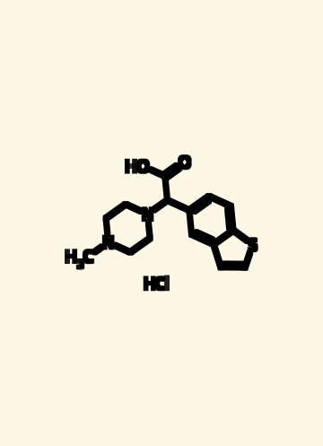 CN1CCN(C(C(=O)O)c2ccc3sccc3c2)CC1.Cl